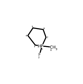 C[PH]1(F)CCCCC1